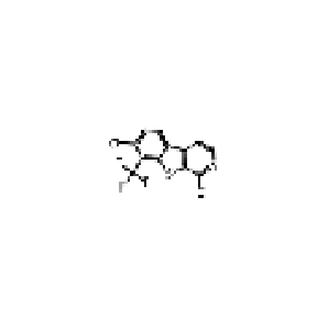 FC(F)(F)c1c(Cl)ccc2c1sc1c(Cl)nccc12